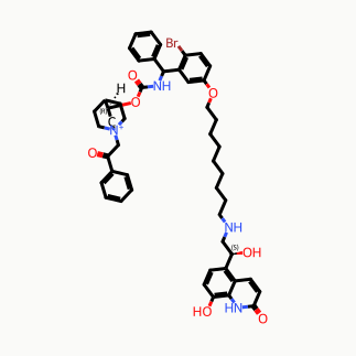 O=C(NC(c1ccccc1)c1cc(OCCCCCCCCCNC[C@@H](O)c2ccc(O)c3[nH]c(=O)ccc23)ccc1Br)O[C@H]1C[N+]2(CC(=O)c3ccccc3)CCC1CC2